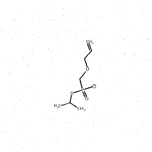 C=CCOCP(=O)(Cl)OC(C)C